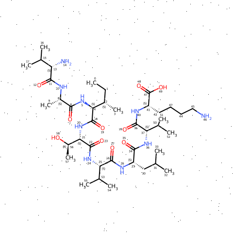 CC[C@H](C)[C@H](NC(=O)[C@H](C)NC(=O)[C@@H](N)C(C)C)C(=O)N[C@H](C(=O)N[C@H](C(=O)N[C@@H](CC(C)C)C(=O)N[C@H](C(=O)N[C@@H](CCCCN)C(=O)O)C(C)C)C(C)C)[C@@H](C)O